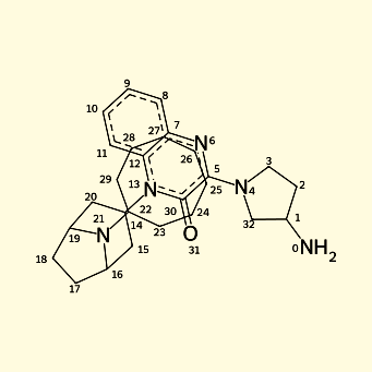 NC1CCN(c2nc3ccccc3n(C3CC4CCC(C3)N4C3CCCCCCC3)c2=O)C1